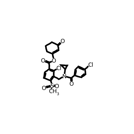 CS(=O)(=O)c1ccc(C(=O)OC2=CC(=O)CCC2)c(Cl)c1CN(C(=O)c1ccc(Cl)cc1)C1CC1